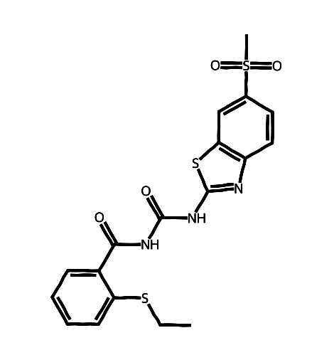 CCSc1ccccc1C(=O)NC(=O)Nc1nc2ccc(S(C)(=O)=O)cc2s1